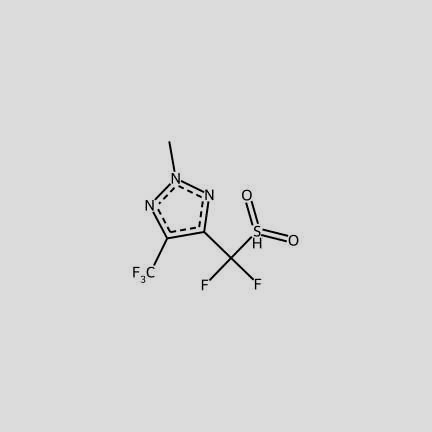 Cn1nc(C(F)(F)F)c(C(F)(F)[SH](=O)=O)n1